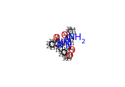 NC1(C(=O)N2CCN(C(=O)c3cc(Cc4n[nH]c(=O)c5ccccc45)cc4c3OCC4)CC2)CCCC1